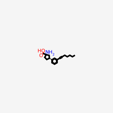 CCCCCC#Cc1cccc([C@H]2CCC(N)(C(=O)O)C2)c1